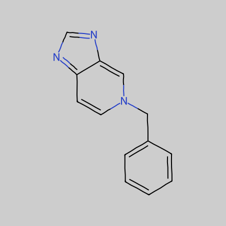 c1ccc(Cn2ccc3ncnc-3c2)cc1